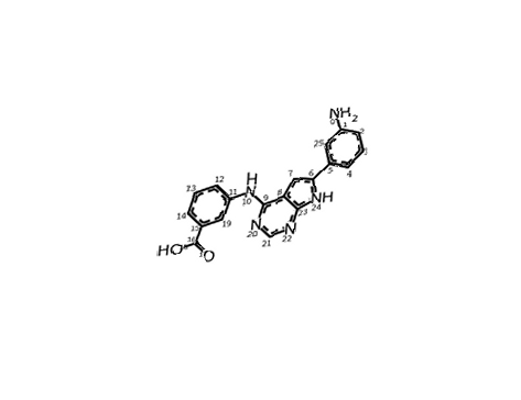 Nc1cccc(-c2cc3c(Nc4cccc(C(=O)O)c4)ncnc3[nH]2)c1